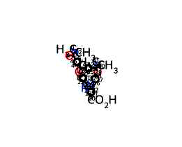 CN(C)C(=O)c1ccc(C(Oc2ccc(-c3nc4cc(C(=O)O)ccc4n3C3CCCCC3)cc2)c2ccc(C(=O)N(C)C)cc2)cc1